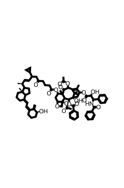 C=C1/C(=C\C=C2/CCC[C@@]3(C)C2CCC3[C@@H](C)/C=C/C(CC(=O)CCCC(=O)OC2CC3OCC3(OC(C)=O)C3C(OC(=O)c4ccccc4)C4(O)CC(OC(=O)C(O)C(NC(=O)c5ccccc5)c5ccccc5)C(C)=C(C(OC(C)=O)C(=O)C23C)C4(C)C)C2CC2)CCC[C@@H]1O